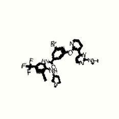 CNc1nccc(-c2cccnc2Oc2cc(Br)cc(C(=O)Nc3cc(C(F)(F)F)cc(C)c3NC3CCN(C)C3)c2)n1